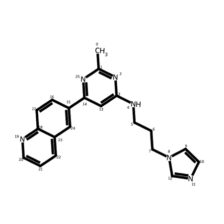 Cc1nc(NCCCn2ccnc2)cc(-c2ccc3ncccc3c2)n1